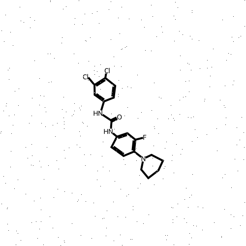 O=C(Nc1ccc(N2CCCCC2)c(F)c1)Nc1ccc(Cl)c(Cl)c1